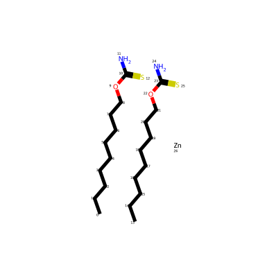 CCCCCCCCCOC(N)=S.CCCCCCCCCOC(N)=S.[Zn]